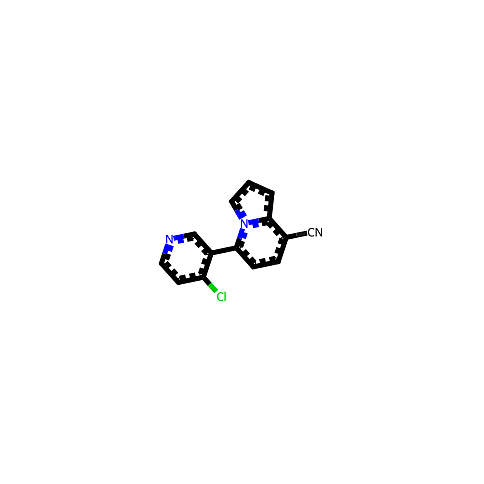 N#Cc1ccc(-c2cnccc2Cl)n2cccc12